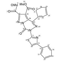 COC(=O)c1nn2c(=O)n(-c3nc(-c4ccccc4)cs3)nc(C3=CC=CCC3)c2c1C(=O)OC